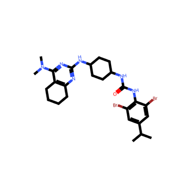 CC(C)c1cc(Br)c(NC(=O)NC2CCC(Nc3nc4c(c(N(C)C)n3)CCCC4)CC2)c(Br)c1